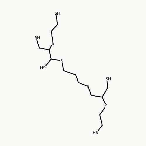 SCCSC(CS)CSCCCSC(S)C(CS)SCCS